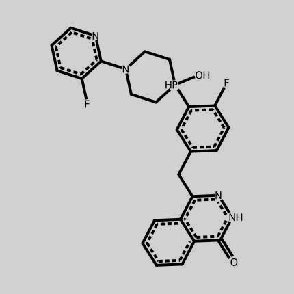 O=c1[nH]nc(Cc2ccc(F)c([PH]3(O)CCN(c4ncccc4F)CC3)c2)c2ccccc12